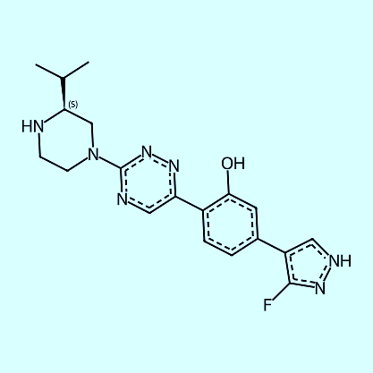 CC(C)[C@H]1CN(c2ncc(-c3ccc(-c4c[nH]nc4F)cc3O)nn2)CCN1